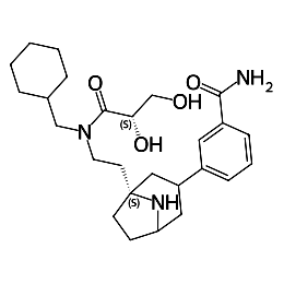 NC(=O)c1cccc(C2CC3CC[C@@](CCN(CC4CCCCC4)C(=O)[C@@H](O)CO)(C2)N3)c1